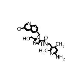 Cc1cc(N)nc(C)c1CNC(=O)c1cnc(CO)n1Cc1ccc2ncc(Cl)cc2c1